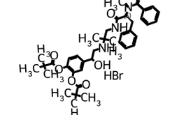 Br.CN(C(=O)c1ccccc1)[C@@H](Cc1ccccc1)C(=O)NCC(C)(C)NCC(O)c1ccc(OC(=O)C(C)(C)C)c(OC(=O)C(C)(C)C)c1